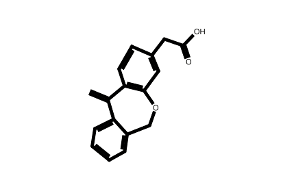 C=C1c2ccccc2COc2cc(CC(=O)O)ccc21